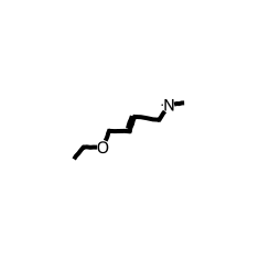 CCOCC=CC[N]C